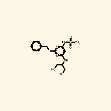 CS(=O)(=O)Nc1cc(NC(CO)CO)nc(SCc2ccccc2)n1